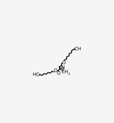 C#CCCCCCCCOCc1cc(C(=O)OCCCCCCCC#C)n(C)n1